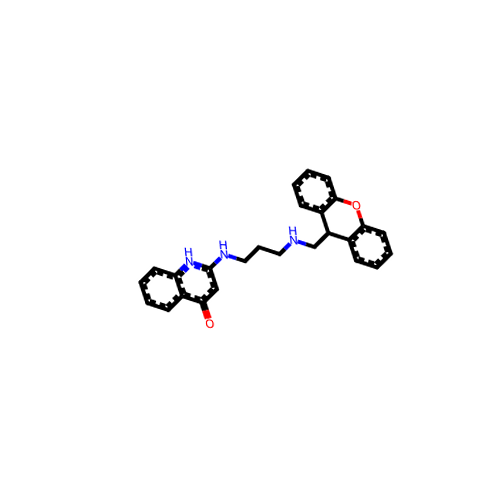 O=c1cc(NCCCNCC2c3ccccc3Oc3ccccc32)[nH]c2ccccc12